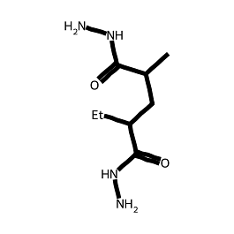 CCC(CC(C)C(=O)NN)C(=O)NN